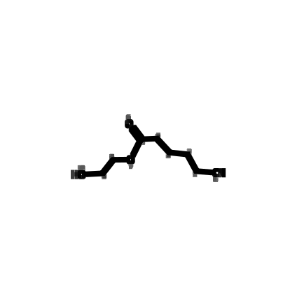 N#CCCCCC(=O)OCCO